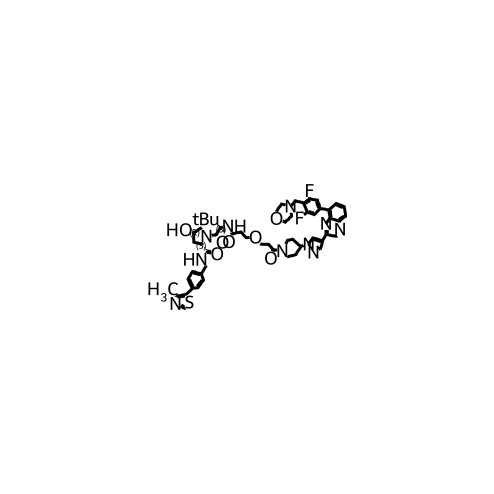 Cc1ncsc1-c1ccc(CNC(=O)[C@@H]2C[C@@H](O)CN2C(=O)[C@@H](NC(=O)CCOCCC(=O)N2CCC(n3cc(-c4cnc5cccc(-c6cc(F)c(CN7CCOCC7)c(F)c6)c5n4)cn3)CC2)C(C)(C)C)cc1